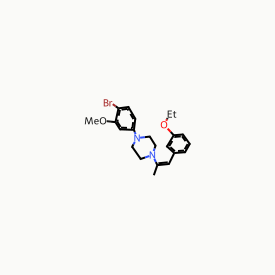 CCOc1cccc(C=C(C)N2CCN(c3ccc(Br)c(OC)c3)CC2)c1